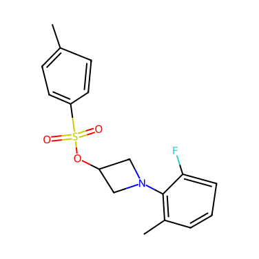 Cc1ccc(S(=O)(=O)OC2CN(c3c(C)cccc3F)C2)cc1